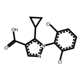 O=C(O)c1cnn(-c2c(Cl)cccc2Cl)c1C1CC1